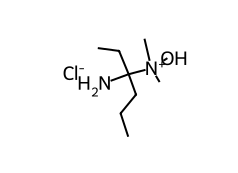 CCCC(N)(CC)[N+](C)(C)O.[Cl-]